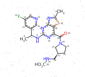 Cc1nc2nc(NC(C)c3cncc(F)c3)nc(C(=O)N3CC[C@@H](CNC(=O)O)C3)c2s1